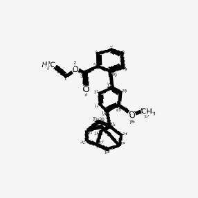 C=COC(=O)c1ccccc1-c1ccc(C23CC4CC(CC(C4)C2)C3)c(OC)c1